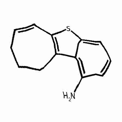 Nc1cccc2sc3c(c12)CCCC=C3